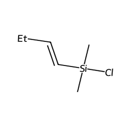 CCC=C[Si](C)(C)Cl